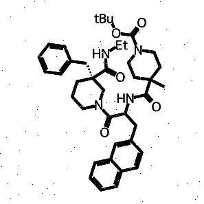 CCNC(=O)[C@]1(Cc2ccccc2)CCCN(C(=O)C(Cc2ccc3ccccc3c2)NC(=O)C2(C)CCN(C(=O)OC(C)(C)C)CC2)C1